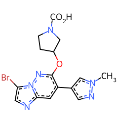 Cn1cc(-c2cc3ncc(Br)n3nc2OC2CCN(C(=O)O)C2)cn1